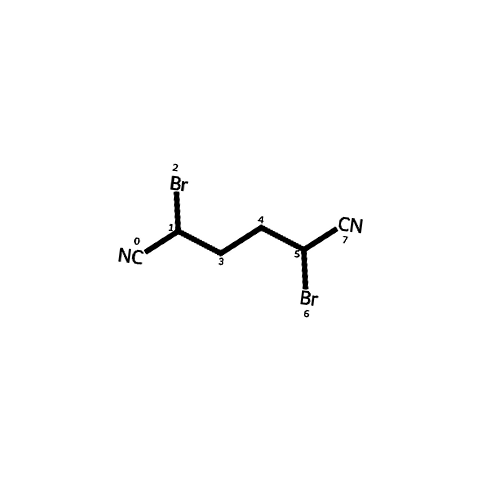 N#CC(Br)CCC(Br)C#N